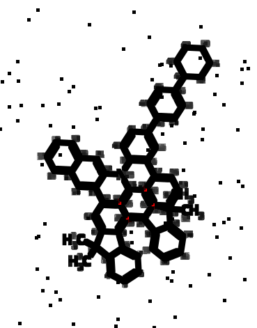 CC1(C)c2ccccc2-c2ccc(-c3cc4ccccc4cc3N(c3ccc4c(c3)C(C)(C)c3ccccc3-4)c3ccc(-c4ccc(C5CCCCC5)cc4)cc3-c3ccccc3)cc21